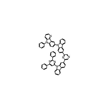 c1ccc(-c2cc(-n3c4ccccc4c4ccc(-c5cncc(-c6ccc7c(c6)c6ccccc6n7-c6ccc7c(c6)c6ncccc6n7-c6ccccc6)n5)cc43)nc(-c3ccccc3)n2)cc1